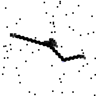 CCCCCCCC/C=C\CCCCCCCC[N+](C)(CCCCCCCCCCCCCCCCCC)C(C)O.[Cl-]